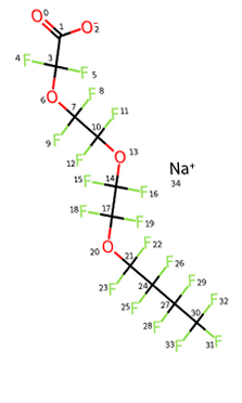 O=C([O-])C(F)(F)OC(F)(F)C(F)(F)OC(F)(F)C(F)(F)OC(F)(F)C(F)(F)C(F)(F)C(F)(F)F.[Na+]